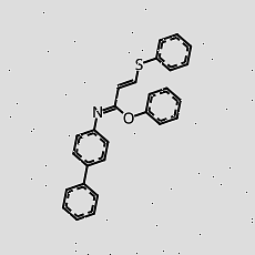 C(=CC(=Nc1ccc(-c2ccccc2)cc1)Oc1ccccc1)Sc1ccccc1